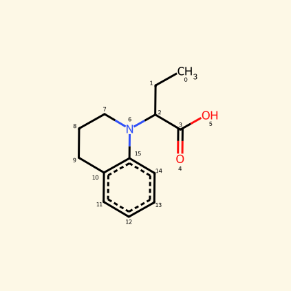 CCC(C(=O)O)N1CCCc2ccccc21